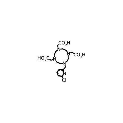 O=C(O)CN1CCN(CC(=O)O)CCN(Cc2cccc(Cl)n2)CCN(CC(=O)O)CC1